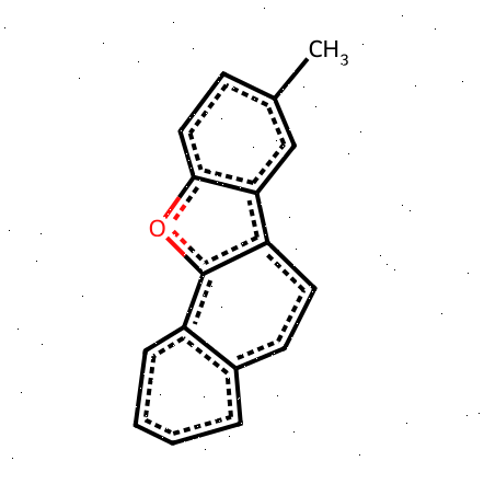 Cc1ccc2oc3c4ccccc4ccc3c2c1